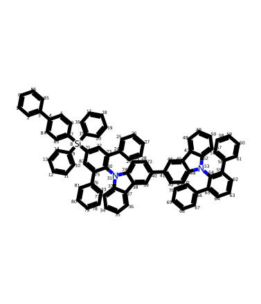 c1ccc(-c2ccc([Si](c3ccccc3)(c3ccccc3)c3cc(-c4ccccc4)c(-n4c5ccccc5c5cc(-c6ccc7c(c6)c6ccccc6n7-c6c(-c7ccccc7)cccc6-c6ccccc6)ccc54)c(-c4ccccc4)c3)cc2)cc1